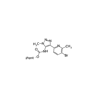 CCC[C@@H](C)OC(=O)Nc1c(-c2ccc(Br)c(C)n2)nnn1C